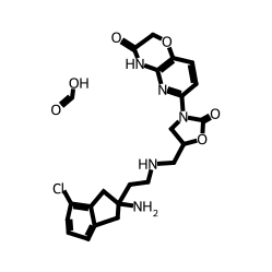 NC1(CCNCC2CN(c3ccc4c(n3)NC(=O)CO4)C(=O)O2)Cc2cccc(Cl)c2C1.O=CO